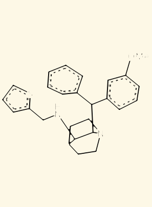 COc1cccc(C(c2ccccc2)C2C(NCc3cccs3)C3CCN2CC3)c1